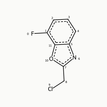 Fc1cccc2nc(CCl)oc12